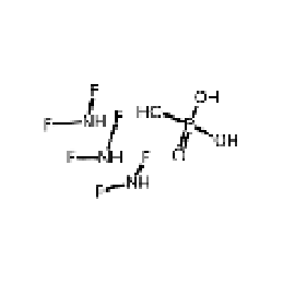 FNF.FNF.FNF.O=P(O)(O)O